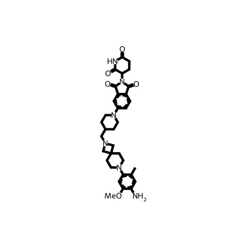 COc1cc(N2CCC3(CC2)CN(CC2CCN(c4ccc5c(c4)C(=O)N(C4CCC(=O)NC4=O)C5=O)CC2)C3)c(C)cc1N